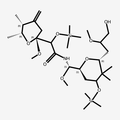 C=C1C[C@](OC)(C(O[Si](C)(C)C)C(=O)N[C@@H](OC)[C@@H]2CC(O[Si](C)(C)C)C(C)(C)[C@@H](CC(CO)OC)O2)O[C@H](C)[C@@H]1C